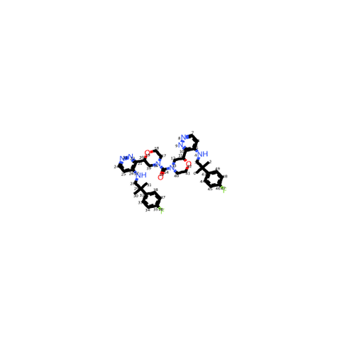 CC(C)(CNc1ccnnc1C1CN(C(=O)N2CCOC(c3nnccc3NCC(C)(C)c3ccc(F)cc3)C2)CCO1)c1ccc(F)cc1